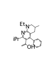 C=C(O)c1c(C(C)C)nc2c(c1-c1ccccc1)CC(C)CN2CC